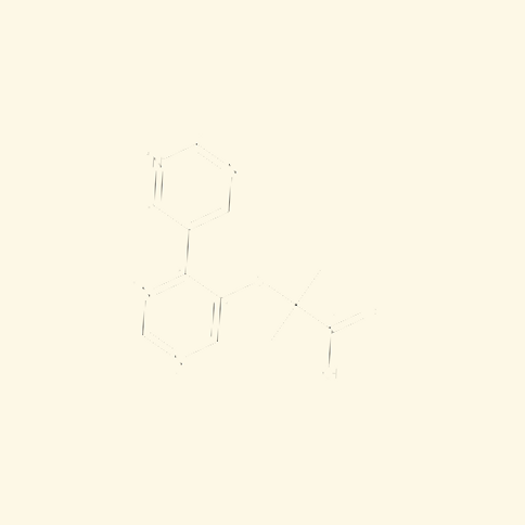 CC(C)(Sc1cncnc1-c1cncnc1)C(=O)O